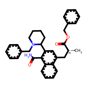 C[C@H](Cc1cc(C2CCCCN2Cc2ccccc2)c(C(N)=O)c2ccccc12)C(=O)OCc1ccccc1